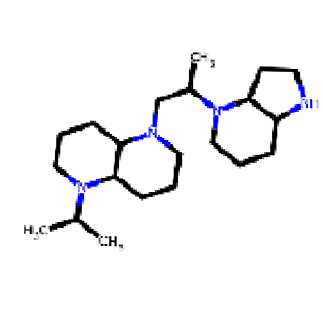 CC(C)N1CCCC2C1CCCN2CC(C)N1CCCC2NCCC21